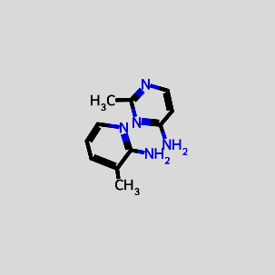 Cc1cccnc1N.Cc1nccc(N)n1